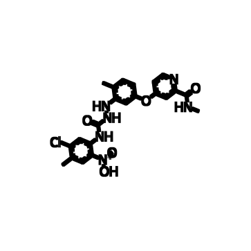 CNC(=O)c1cc(Oc2ccc(C)c(NNC(=O)Nc3cc(Cl)c(C)cc3[N+](=O)O)c2)ccn1